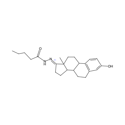 CCCCC(=O)N/N=C1\CCC2C3CCc4cc(O)ccc4C3CCC12C